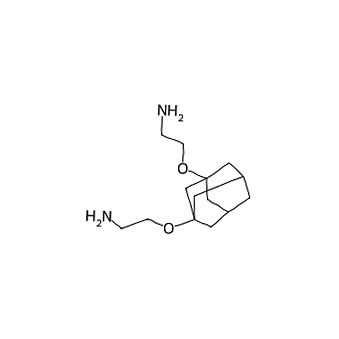 NCCOC12CC3CC(C1)CC(OCCN)(C3)C2